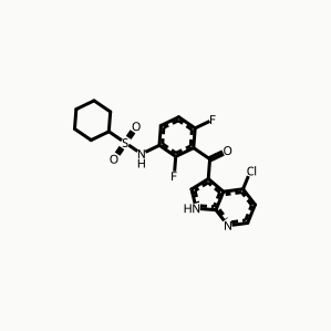 O=C(c1c(F)ccc(NS(=O)(=O)C2CCCCC2)c1F)c1c[nH]c2nccc(Cl)c12